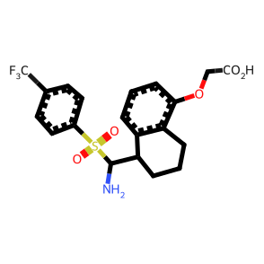 NC(C1CCCc2c(OCC(=O)O)cccc21)S(=O)(=O)c1ccc(C(F)(F)F)cc1